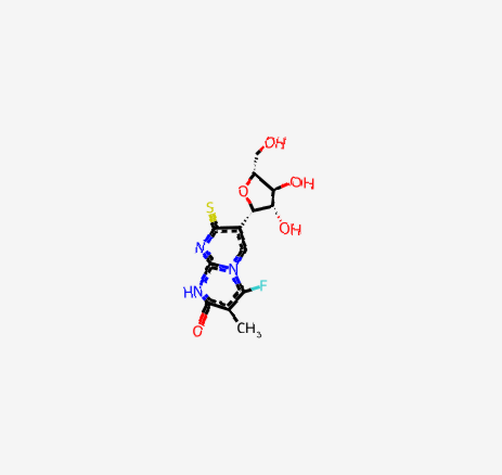 Cc1c(F)n2cc([C@@H]3O[C@H](CO)C(O)[C@@H]3O)c(=S)nc2[nH]c1=O